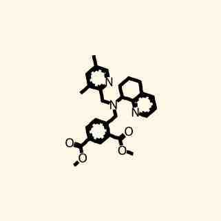 COC(=O)c1ccc(CN(Cc2ncc(C)cc2C)C2CCCc3cccnc32)c(C(=O)OC)c1